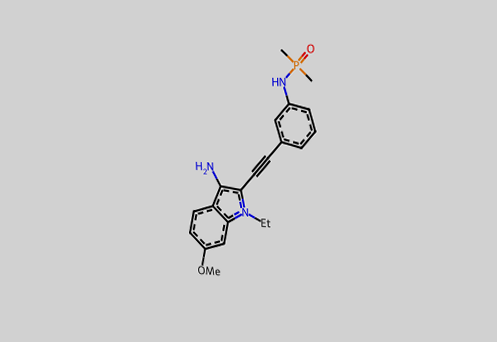 CCn1c(C#Cc2cccc(NP(C)(C)=O)c2)c(N)c2ccc(OC)cc21